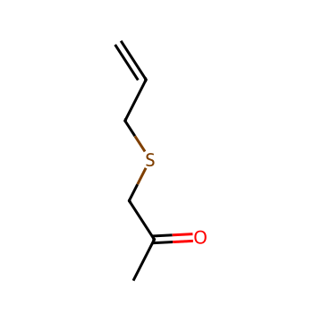 C=CCSCC(C)=O